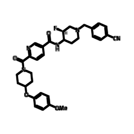 COc1ccc(OC2CCN(C(=O)c3ccc(C(=O)NC4CCN(Cc5ccc(C#N)cc5)C[C@@H]4F)cn3)CC2)cc1